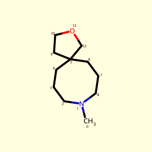 CN1CCCC2(CCC1)CCOC2